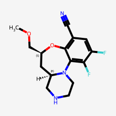 COC[C@@H]1C[C@@H]2CNCCN2c2c(F)c(F)cc(C#N)c2O1